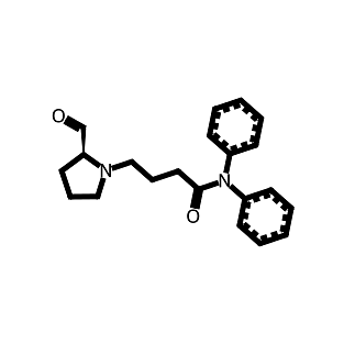 O=C[C@@H]1CCCN1CCCC(=O)N(c1ccccc1)c1ccccc1